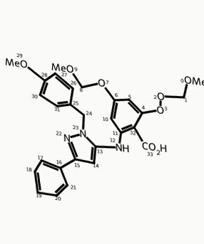 COCOOc1cc(OCOC)cc(Nc2cc(-c3ccccc3)nn2Cc2ccc(OC)cc2)c1C(=O)O